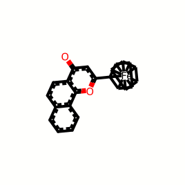 O=c1cc([C]23[CH]4[CH]5[CH]6[CH]2[Fe]56432789[CH]3[CH]2[CH]7[CH]8[CH]39)oc2c1ccc1ccccc12